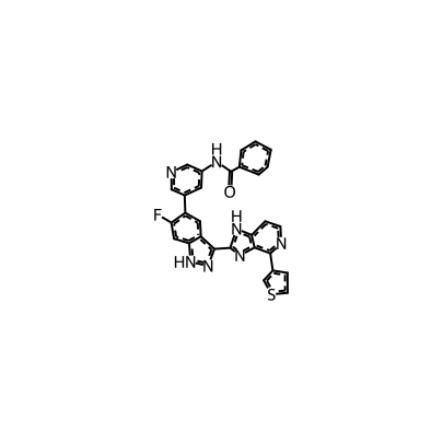 O=C(Nc1cncc(-c2cc3c(-c4nc5c(-c6ccsc6)nccc5[nH]4)n[nH]c3cc2F)c1)c1ccccc1